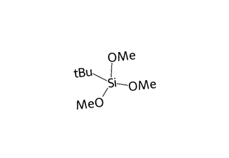 [CH2]O[Si](OC)(OC)C(C)(C)C